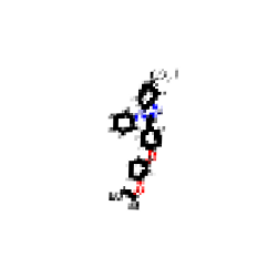 CCC=C(CC)Oc1cccc(Oc2ccc(-c3nc4cc(C(=O)O)ccc4n3C3CCCCC3)cc2)c1